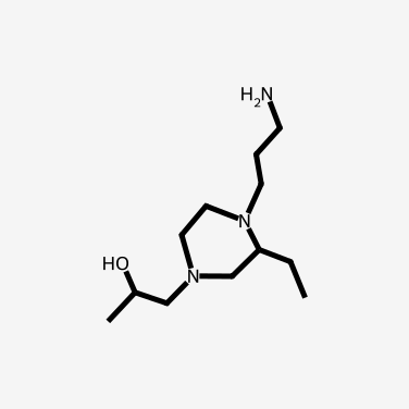 CCC1CN(CC(C)O)CCN1CCCN